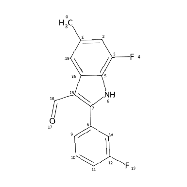 Cc1cc(F)c2[nH]c(-c3cccc(F)c3)c(C=O)c2c1